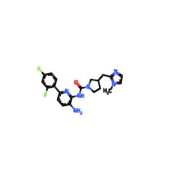 Cn1ccnc1CC1CCN(C(=O)Nc2nc(-c3ccc(F)cc3F)ccc2N)C1